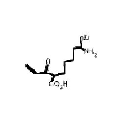 C=CC(=O)C(CCCCC(N)CCCC)C(=O)O